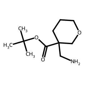 CC(C)(C)OC(=O)C1(CN)CCCOC1